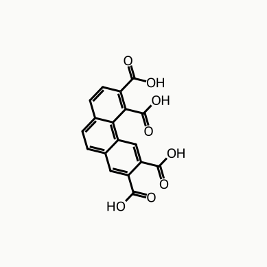 O=C(O)c1cc2ccc3ccc(C(=O)O)c(C(=O)O)c3c2cc1C(=O)O